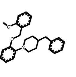 COc1ccccc1COc1ccccc1N1CCC(Cc2ccccc2)CC1